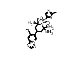 BC1(B)CC(c2cn3ncnc3cc2Cl)CC(B)(B)N1S(=O)(=O)c1cnc(C)s1